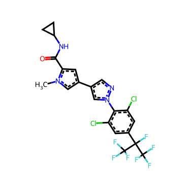 Cn1cc(-c2cnn(-c3c(Cl)cc(C(F)(C(F)(F)F)C(F)(F)F)cc3Cl)c2)cc1C(=O)NC1CC1